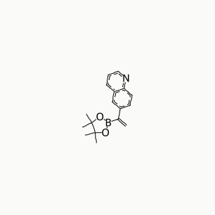 C=C(B1OC(C)(C)C(C)(C)O1)c1ccc2ncccc2c1